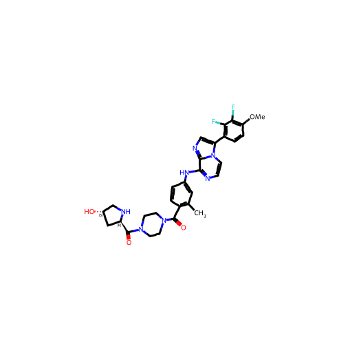 COc1ccc(-c2cnc3c(Nc4ccc(C(=O)N5CCN(C(=O)[C@H]6C[C@H](O)CN6)CC5)c(C)c4)nccn23)c(F)c1F